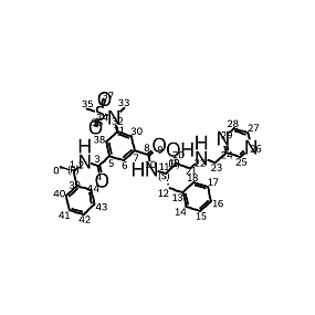 C[C@@H](NC(=O)c1cc(C(=O)N[C@@H](Cc2ccccc2)[C@H](O)CNCc2cnccn2)cc(N(C)S(C)(=O)=O)c1)c1ccccc1